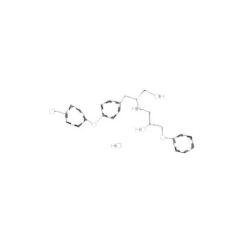 Cl.OC[C@H](Cc1ccc(Oc2ccc(Cl)cc2)cc1)NCC(O)COc1ccccc1